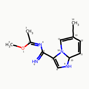 CO/C(C)=N\C(=N)C1=CNC2C=CC(C)=CN12